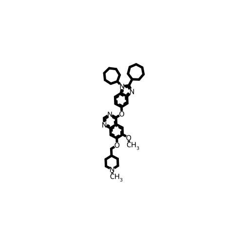 COc1cc2c(Oc3ccc4c(c3)nc(C3CCCCCC3)n4C3CCCCCC3)ncnc2cc1OCC1CCN(C)CC1